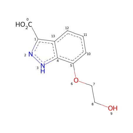 O=C(O)c1n[nH]c2c(OCCO)cccc12